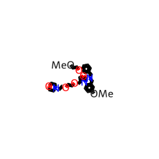 COCCOc1cccc(CN(Cc2cccc(OC)c2)c2nc(COCCOCCN3CCOCC3)co2)c1